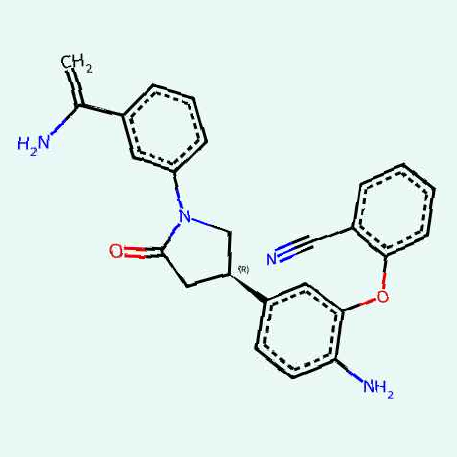 C=C(N)c1cccc(N2C[C@@H](c3ccc(N)c(Oc4ccccc4C#N)c3)CC2=O)c1